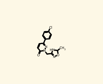 CC1NC(Cn2nc(-c3ccc(Cl)cc3)ccc2=O)=NO1